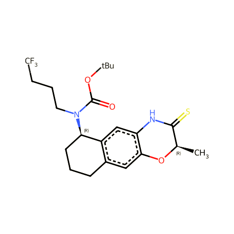 C[C@H]1Oc2cc3c(cc2NC1=S)[C@H](N(CCCC(F)(F)F)C(=O)OC(C)(C)C)CCC3